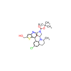 CC1CCc2cc(Cl)cc(-c3ccnc4cc(CO)sc34)c2N1C1CCN(C(=O)OC(C)(C)C)C1